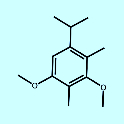 COc1cc(C(C)C)c(C)c(OC)c1C